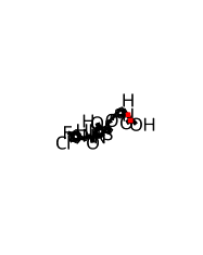 O=C(CO)NC1CCC(COCc2csc3nc(C(=O)NCc4ccc(F)c(Cl)c4)[nH]c(=O)c23)C1